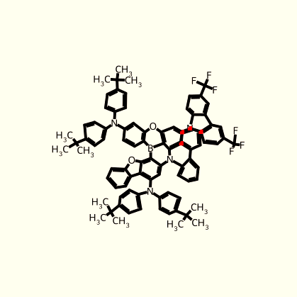 CC(C)(C)c1ccc(N(c2ccc(C(C)(C)C)cc2)c2ccc3c(c2)Oc2cc(-n4c5ccc(C(F)(F)F)cc5c5cc(C(F)(F)F)ccc54)cc4c2B3c2c(cc(N(c3ccc(C(C)(C)C)cc3)c3ccc(C(C)(C)C)cc3)c3c2oc2ccccc23)N4c2ccccc2-c2ccccc2)cc1